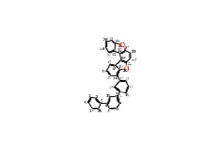 c1ccc(-c2cccc(-c3cccc(-c4cccc5c4oc4ccc6oc7ccccc7c6c45)c3)c2)cc1